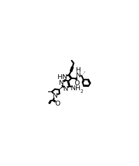 C=CC(=O)N1C[C@H](c2nc(N)c3c(C(=O)N[C@H](C)c4ccccc4)c(C#CCC)[nH]c3n2)C[C@@H]1C